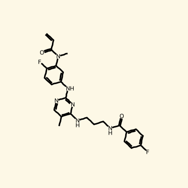 C=CC(=O)N(C)c1cc(Nc2ncc(C)c(NCCCNC(=O)c3ccc(F)cc3)n2)ccc1F